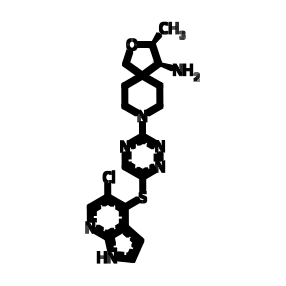 C[C@@H]1OCC2(CCN(c3ncc(Sc4c(Cl)cnc5[nH]ccc45)nn3)CC2)[C@@H]1N